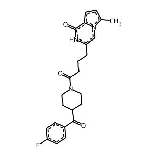 Cc1ccc2c(=O)[nH]c(CCCC(=O)N3CCC(C(=O)c4ccc(F)cc4)CC3)cn12